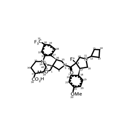 COC[C@@]1(F)CN(C(=O)[C@]2(F)CN(C3CCC3)C[C@H]2c2ccc(OC)cc2)C[C@@H]1c1ccc(C(F)(F)F)cc1N1CCC(C(=O)O)CC1